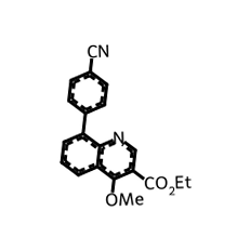 CCOC(=O)c1cnc2c(-c3ccc(C#N)cc3)cccc2c1OC